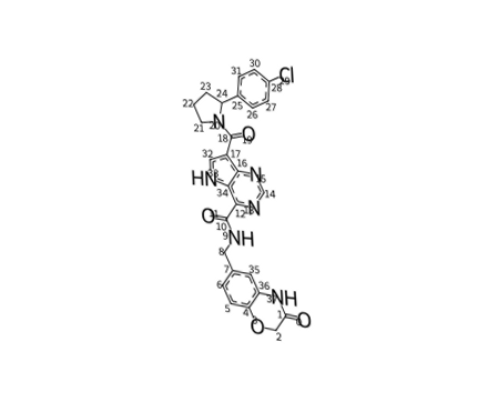 O=C1COc2ccc(CNC(=O)c3ncnc4c(C(=O)N5CCCC5c5ccc(Cl)cc5)c[nH]c34)cc2N1